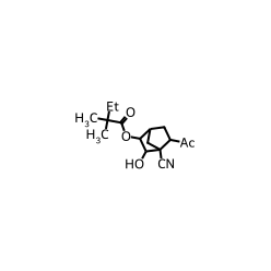 CCC(C)(C)C(=O)OC1C2CC(C(C)=O)C(C#N)(C2)C1O